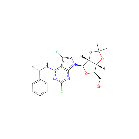 C[C@H](Nc1nc(Cl)nc2c1c(F)cn2[C@@H]1O[C@H](CO)[C@H]2OC(C)(C)O[C@H]21)c1ccccc1